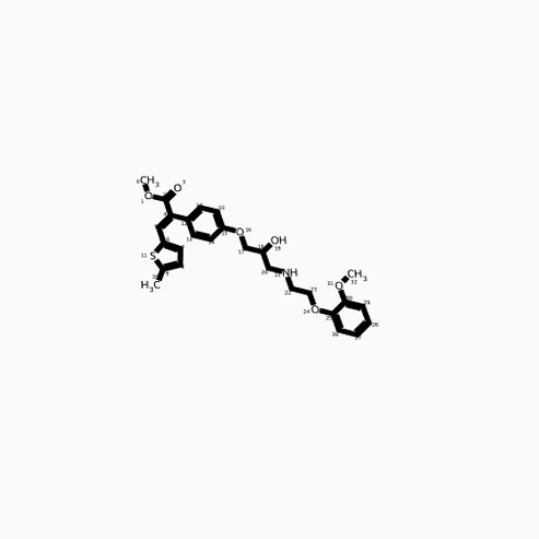 COC(=O)/C(=C/c1ccc(C)s1)c1ccc(OCC(O)CNCCOc2ccccc2OC)cc1